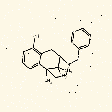 CC12CCN(Cc3ccccc3)C(Cc3c(O)cccc31)C2(C)C